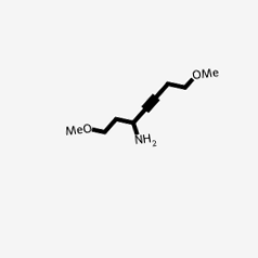 COCCC#CC(N)CCOC